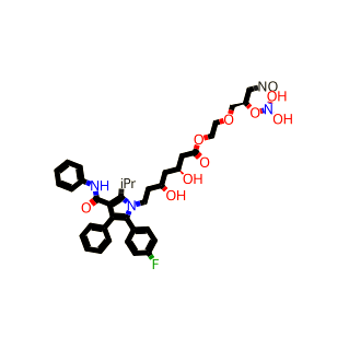 CC(C)c1c(C(=O)Nc2ccccc2)c(-c2ccccc2)c(-c2ccc(F)cc2)n1CCC(O)C[C@@H](O)CC(=O)OCCOC[C@@H](CN=O)ON(O)O